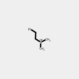 [CH2-][NH+](C)CCCC